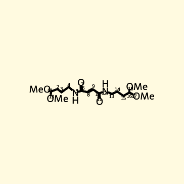 COC(CCCNC(=O)C=CC(=O)NCCCC(OC)OC)OC